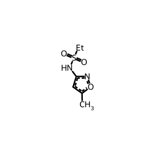 CCS(=O)(=O)Nc1cc(C)on1